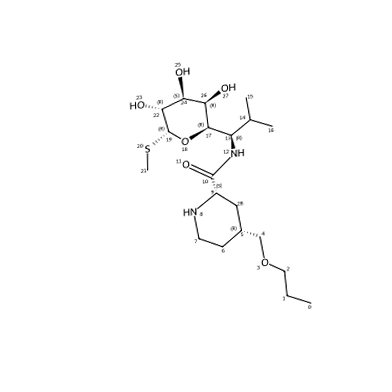 CCCOC[C@@H]1CCN[C@H](C(=O)N[C@H](C(C)C)[C@H]2O[C@H](SC)[C@H](O)[C@@H](O)[C@H]2O)C1